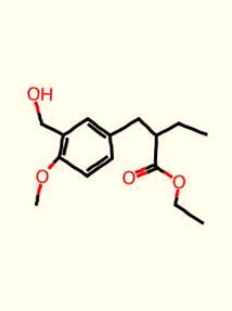 CCOC(=O)C(CC)Cc1ccc(OC)c(CO)c1